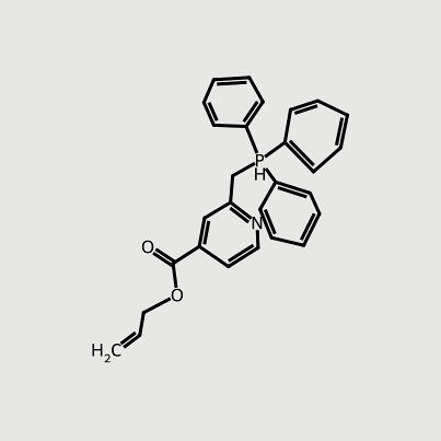 C=CCOC(=O)c1ccnc(C[PH](c2ccccc2)(c2ccccc2)c2ccccc2)c1